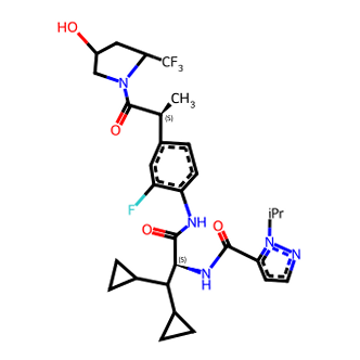 CC(C)n1nccc1C(=O)N[C@H](C(=O)Nc1ccc([C@H](C)C(=O)N2CC(O)CC2C(F)(F)F)cc1F)C(C1CC1)C1CC1